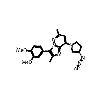 COc1ccc(-c2c(C)nc3c(N4CC[C@@H](N=[N+]=[N-])C4)cc(C)nn23)cc1OC